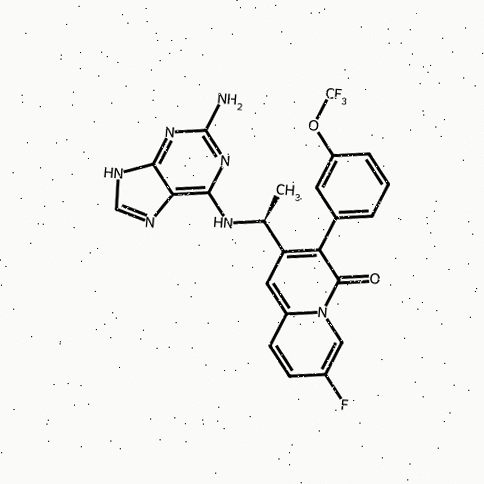 C[C@H](Nc1nc(N)nc2[nH]cnc12)c1cc2ccc(F)cn2c(=O)c1-c1cccc(OC(F)(F)F)c1